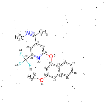 C/N=C(/C)c1cc(Oc2cc(OC)cc3ccccc23)nc(C(F)(F)F)c1